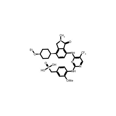 CCO[C@H]1CC[C@@H](c2ccc(Nc3nc(Nc4ccc(CP(=O)(O)O)cc4OC)ncc3C(F)(F)F)c3c2CN(C)C3=O)CC1